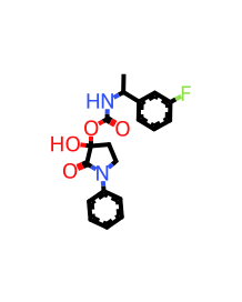 CC(NC(=O)OC1(O)CCN(c2ccccc2)C1=O)c1cccc(F)c1